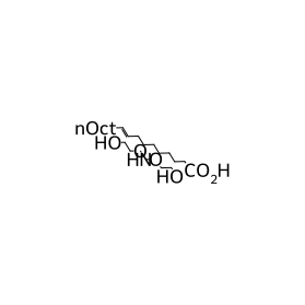 CCCCCCCCC=CCCCCCCCC(=O)O.OCCONOCCO